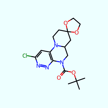 CC(C)(C)OC(=O)N1CC2CC3(CCN2c2cc(Cl)nnc21)OCCO3